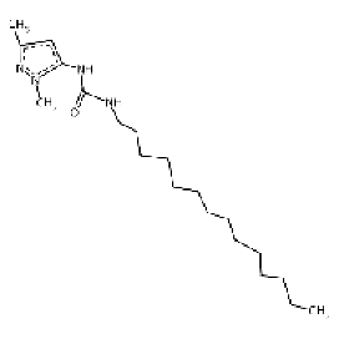 CCCCCCCCCCCCCCNC(=O)Nc1cc(C)nn1C